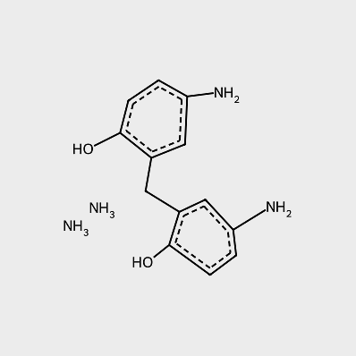 N.N.Nc1ccc(O)c(Cc2cc(N)ccc2O)c1